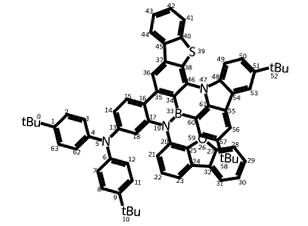 CC(C)(C)c1ccc(N(c2ccc(C(C)(C)C)cc2)c2ccc3c(c2)N(c2cccc4c2oc2ccccc24)B2c4c-3cc3c(sc5ccccc53)c4-n3c4ccc(C(C)(C)C)cc4c4cc(C(C)(C)C)cc2c43)cc1